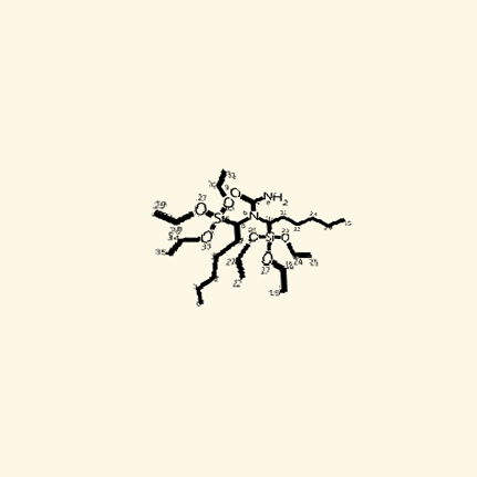 CCCCCC(N(C(N)=O)C(CCCCC)[Si](OCC)(OCC)OCC)[Si](OCC)(OCC)OCC